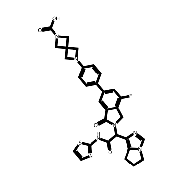 O=C(Nc1nccs1)C(c1ncn2c1CCC2)N1Cc2c(F)cc(-c3ccc(N4CC5(CN(C(=O)O)C5)C4)cc3)cc2C1=O